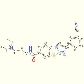 CCN(CC)CCCNC(=O)c1ccc2c(c1)sc1nc(-c3cccc(C#N)c3)cn12